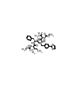 CC[C@H](C)[C@H](NC(=O)OC)C(=O)N[C@@H](Cc1ccccc1)[C@@H](O)CN(Cc1ccc(-c2nccs2)cc1)NC(=O)[C@@H](NC(=O)OC)C(C)C